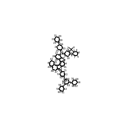 CC1(C)c2ccccc2-c2ccc(N(c3ccc(-c4ccccc4)cc3)c3cccc4c3sc3ccc5c(c34)c3c4ccccc4ccc3n5-c3ccc(-c4nc(-c5ccccc5)cc(-c5ccccc5)n4)cc3)cc21